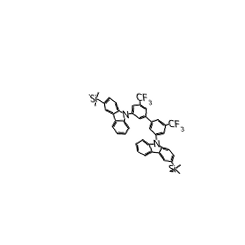 C[Si](C)(C)c1ccc2c(c1)c1ccccc1n2-c1cc(-c2cc(-n3c4ccccc4c4cc([Si](C)(C)C)ccc43)cc(C(F)(F)F)c2)cc(C(F)(F)F)c1